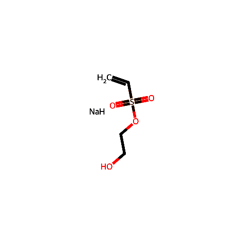 C=CS(=O)(=O)OCCO.[NaH]